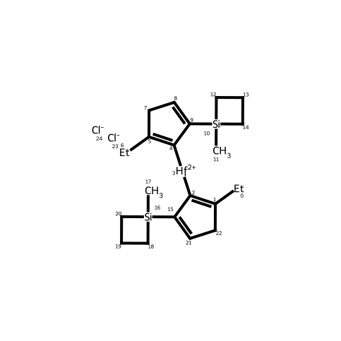 CCC1=[C]([Hf+2][C]2=C(CC)CC=C2[Si]2(C)CCC2)C([Si]2(C)CCC2)=CC1.[Cl-].[Cl-]